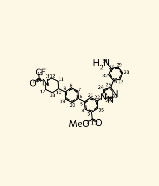 COC(=O)c1cc(-c2ccc(C3CCN(C(=O)C(F)(F)F)CC3)cc2)cc(-n2cc(-c3cccc(N)c3)nn2)c1